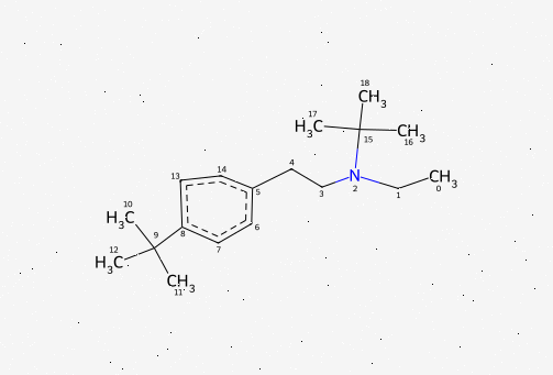 CCN(CCc1ccc(C(C)(C)C)cc1)C(C)(C)C